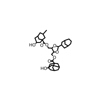 CC1CC2CC(O)CC(C(=O)OCC3OC(C4CC5CCCC(C5)C4)OC3COC(=O)C34CC5CC(CC(O)(C5)C3)C4)(C1)C2